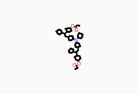 C=CC(=O)Oc1ccc(C(=Cc2ccc(N(c3ccccc3)c3ccc(C=C(c4ccccc4)c4ccc(OC(=O)C=C)cc4)cc3)cc2)c2ccccc2)cc1